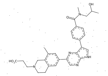 Cc1cc(-c2cnc3[nH]cc(-c4ccc(C(=O)N(C)CC(C)O)cc4)c3n2)cc2c1CN(CCC(=O)O)CC2